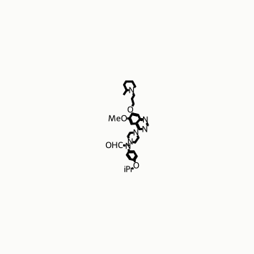 COc1cc2c(N3CCN(N(C=O)c4ccc(OC(C)C)cc4)CC3)ncnc2cc1OCCCN1CCCCC1C